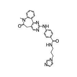 CN1C(=O)Cc2cnc(Nc3ccc(C(=O)NCCCn4ccnc4)cc3)nc2-c2ccccc21